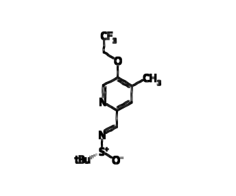 Cc1cc(C=N[S@+]([O-])C(C)(C)C)ncc1OCC(F)(F)F